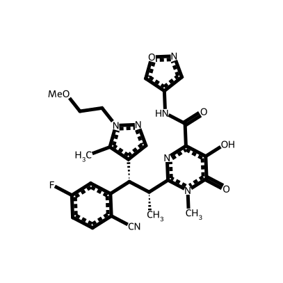 COCCn1ncc([C@@H](c2cc(F)ccc2C#N)[C@@H](C)c2nc(C(=O)Nc3cnoc3)c(O)c(=O)n2C)c1C